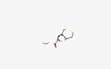 CCOC(=O)c1cc2c(s1)CCSC2